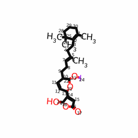 CC1=C(CC/C(C)=C/CCC2C=CC(C3=CC(=O)OC3O)OC2OI)C(C)(C)CCC1